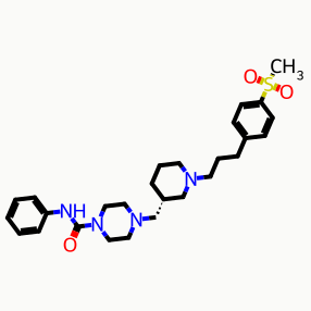 CS(=O)(=O)c1ccc(CCCN2CCC[C@@H](CN3CCN(C(=O)Nc4ccccc4)CC3)C2)cc1